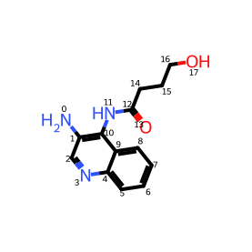 Nc1cnc2ccccc2c1NC(=O)CCCO